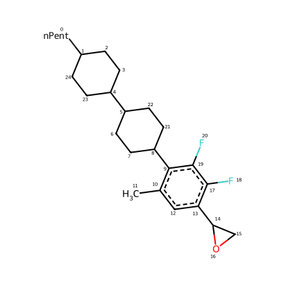 CCCCCC1CCC(C2CCC(c3c(C)cc(C4CO4)c(F)c3F)CC2)CC1